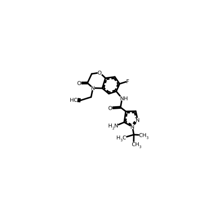 C#CCN1C(=O)COc2cc(F)c(NC(=O)c3cnn(C(C)(C)C)c3N)cc21